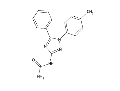 Cc1ccc(-n2nc(NC(N)=O)nc2-c2ccccc2)cc1